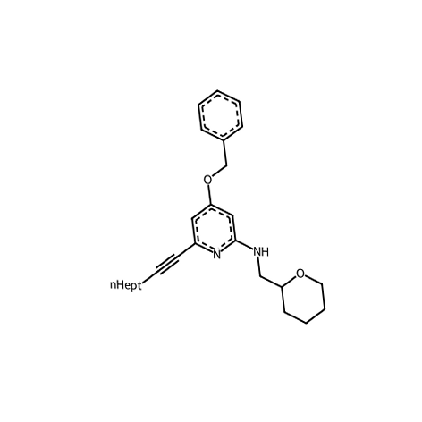 CCCCCCCC#Cc1cc(OCc2ccccc2)cc(NCC2CCCCO2)n1